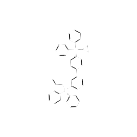 C=CC[PH](c1ccccc1)(c1ccccc1)c1cccc(-c2ccc([PH](c3ccccc3)(c3ccccc3)C3CC3)cc2)c1